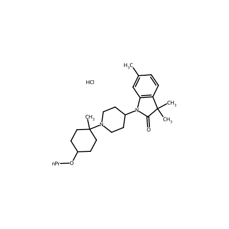 CCCOC1CCC(C)(N2CCC(N3C(=O)C(C)(C)c4ccc(C)cc43)CC2)CC1.Cl